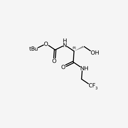 CC(C)(C)OC(=O)N[C@H](CO)C(=O)NCC(F)(F)F